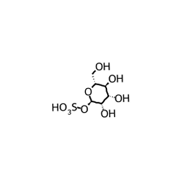 O=S(=O)(O)O[C@H]1O[C@H](CO)[C@@H](O)[C@H](O)[C@@H]1O